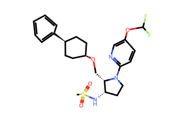 CS(=O)(=O)N[C@H]1CCN(c2ccc(OC(F)F)cn2)[C@H]1CO[C@H]1CC[C@@H](c2ccccc2)CC1